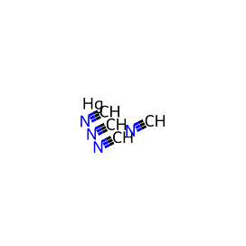 C#N.C#N.C#N.C#N.[Hg]